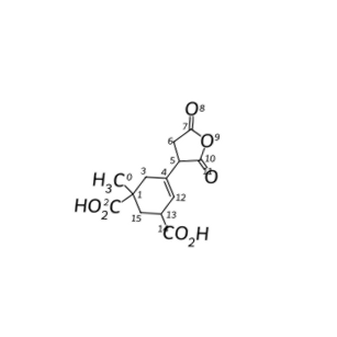 CC1(C(=O)O)CC(C2CC(=O)OC2=O)=CC(C(=O)O)C1